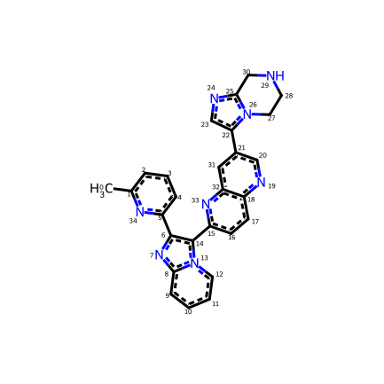 Cc1cccc(-c2nc3ccccn3c2-c2ccc3ncc(-c4cnc5n4CCNC5)cc3n2)n1